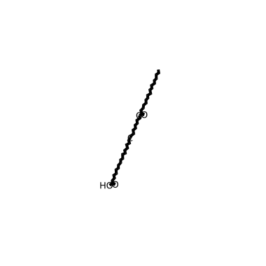 CCCCCCCCCCCCCCCCCC(=O)OCCCCCCCCCCCCCCCCCCCCCCCCCCC(=O)O